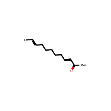 CCC=CCCCCCC=CC(=O)OC